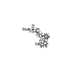 CCN(C(=O)c1cc(F)ccc1Oc1nncnc1N1CCC2(C1)CN(C(CC(O)CNC)C(C)C)C2)C(C)C